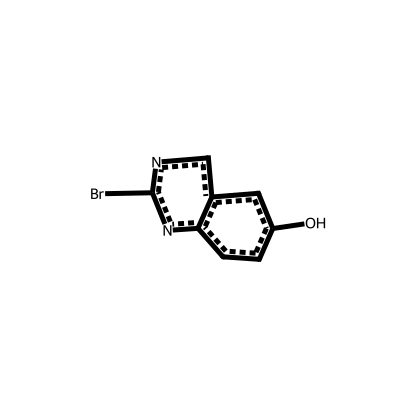 Oc1ccc2nc(Br)ncc2c1